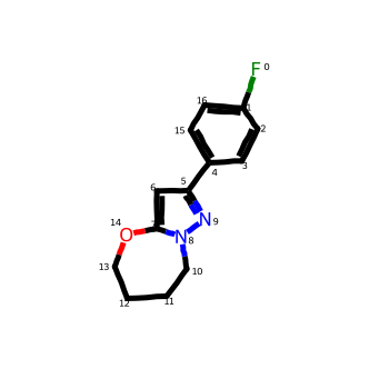 Fc1ccc(-c2cc3n(n2)CCCCO3)cc1